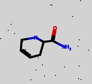 NC(=O)C1CC=CC[N]1